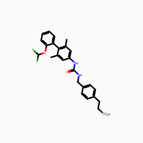 Cc1cc(NC(=O)NCc2ccc(CCC(=O)O)cc2)cc(C)c1-c1ccccc1OC(F)F